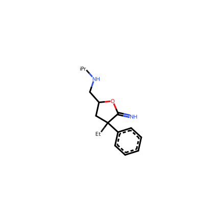 CCC1(c2ccccc2)CC(CNC(C)C)OC1=N